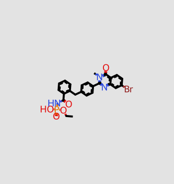 CCOP(=O)(O)NC(=O)c1ccccc1Cc1ccc(-c2nc3cc(Br)ccc3c(=O)n2C)cc1